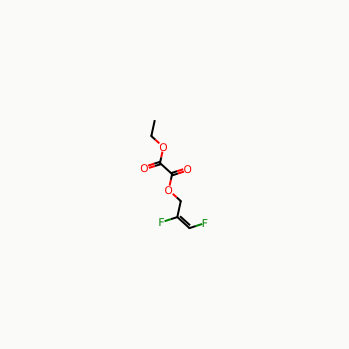 CCOC(=O)C(=O)OC/C(F)=C\F